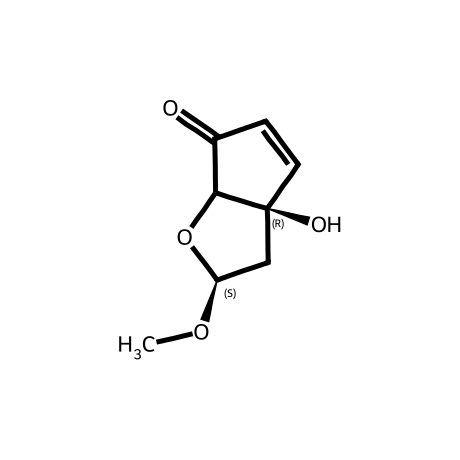 CO[C@@H]1C[C@@]2(O)C=CC(=O)C2O1